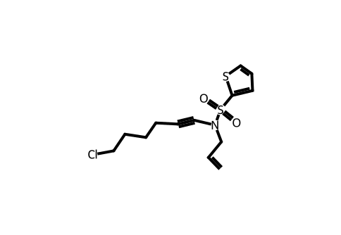 C=CCN(C#CCCCCCl)S(=O)(=O)c1cccs1